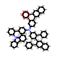 c1ccc(-c2cc(N(c3ccc(-c4ccccc4-n4c5ccccc5c5ccccc54)cc3)c3ccc(-c4cc5ccccc5cc4-c4ccccc4)c(-c4ccccc4)c3)ccc2-c2cc3ccccc3cc2-c2ccccc2)cc1